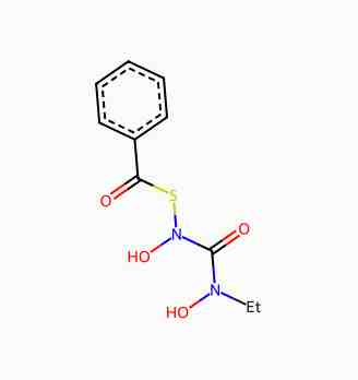 CCN(O)C(=O)N(O)SC(=O)c1ccccc1